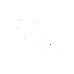 CC1CCCC(C)N1S(=O)(=O)C(C)(F)F